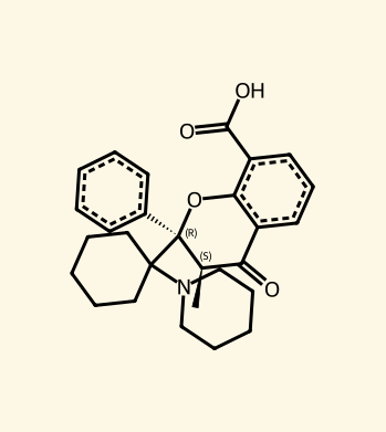 C[C@@H]1C(=O)c2cccc(C(=O)O)c2O[C@]1(c1ccccc1)C1(N2CCCCC2)CCCCC1